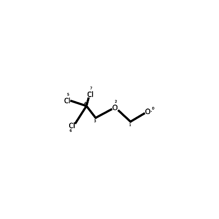 [O]COCC(Cl)(Cl)Cl